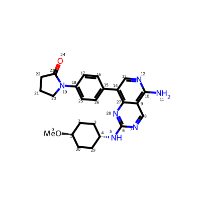 CO[C@H]1CC[C@H](Nc2ncc3c(N)ncc(-c4ccc(N5CCCC5=O)cc4)c3n2)CC1